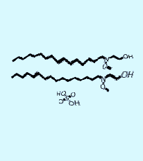 CCCCCCCCCCCCCCCCN(CCO)OC.CCCCCCCCCCCCCCCCN(CCO)OC.O=S(=O)(O)O